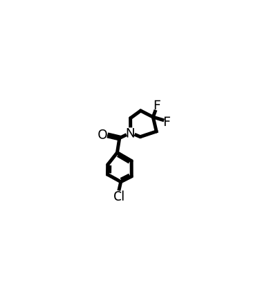 O=C(c1ccc(Cl)cc1)N1CCC(F)(F)CC1